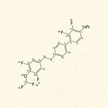 CCCc1ccc(-c2ccc(CCc3cc(F)c(OC(F)F)c(F)c3)cc2)c(F)c1F